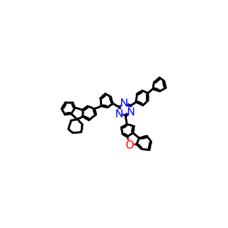 c1ccc(-c2ccc(-c3nc(-c4cccc(-c5ccc6c(c5)-c5ccccc5C65CCCCC5)c4)nc(-c4ccc5oc6ccccc6c5c4)n3)cc2)cc1